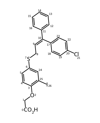 O=C(O)COc1ccc(SCC=C(c2ccccc2)c2ccc(Cl)cc2)cc1I